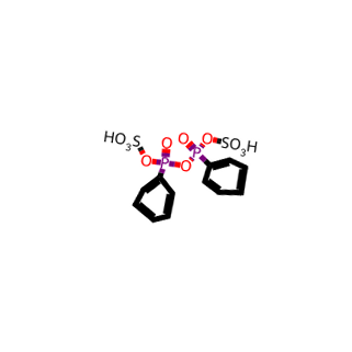 O=P(OP(=O)(OS(=O)(=O)O)c1ccccc1)(OS(=O)(=O)O)c1ccccc1